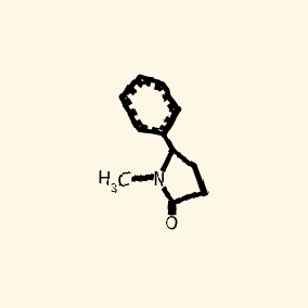 CN1C(=O)CCC1c1ccccc1